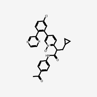 CC(=O)c1ccc(NC(=O)C(CC2CC2)c2ccc(-c3cc(Cl)ccc3-c3cnccn3)c[n+]2[O-])cc1